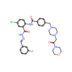 O=C(Nc1ccc(Br)cc1C(=O)N/N=C/c1cccc(F)c1)c1ccc(CN2CCN(CC(=O)N3CCOCC3)CC2)cc1